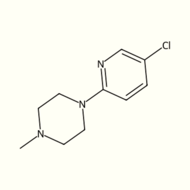 CN1CCN(c2ccc(Cl)cn2)CC1